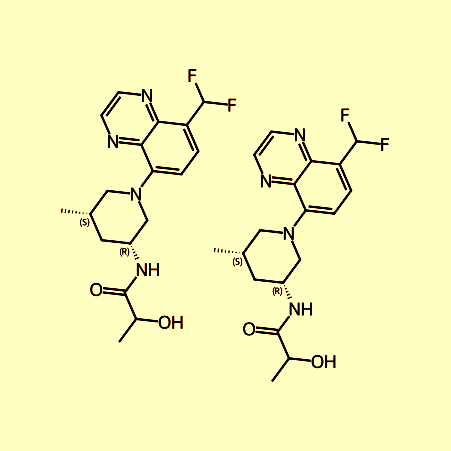 CC(O)C(=O)N[C@@H]1C[C@H](C)CN(c2ccc(C(F)F)c3nccnc23)C1.CC(O)C(=O)N[C@@H]1C[C@H](C)CN(c2ccc(C(F)F)c3nccnc23)C1